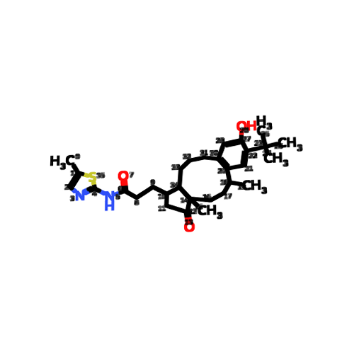 Cc1cnc(NC(=O)CCC2CC(=O)C3(C)CCC(C)c4cc(C(C)(C)C)c(O)cc4CCCC23)s1